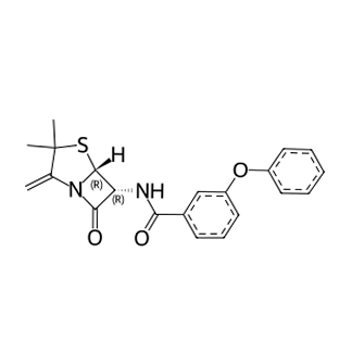 C=C1N2C(=O)[C@@H](NC(=O)c3cccc(Oc4ccccc4)c3)[C@H]2SC1(C)C